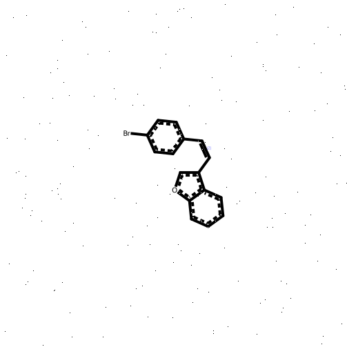 Brc1ccc(/C=C\c2coc3ccccc23)cc1